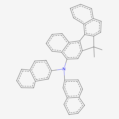 CC1(C)c2ccc3ccccc3c2-c2c1cc(N(c1ccc3ccccc3c1)c1ccc3ccccc3c1)c1ccccc21